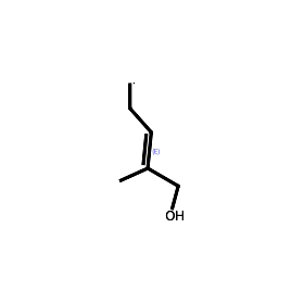 [CH2]C/C=C(\C)CO